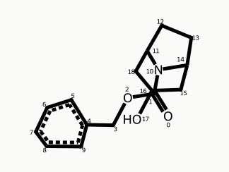 O=C(OCc1ccccc1)N1C2CCC1CC(O)C2